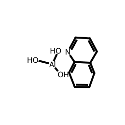 [OH][Al]([OH])[OH].c1ccc2ncccc2c1